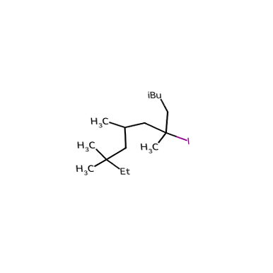 CCC(C)CC(C)(I)CC(C)CC(C)(C)CC